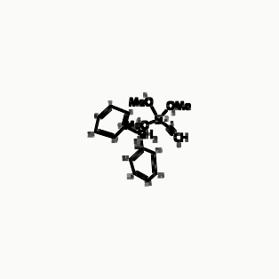 C#C[Si](OC)(OC)OC.c1ccc([SiH2]c2ccccc2)cc1